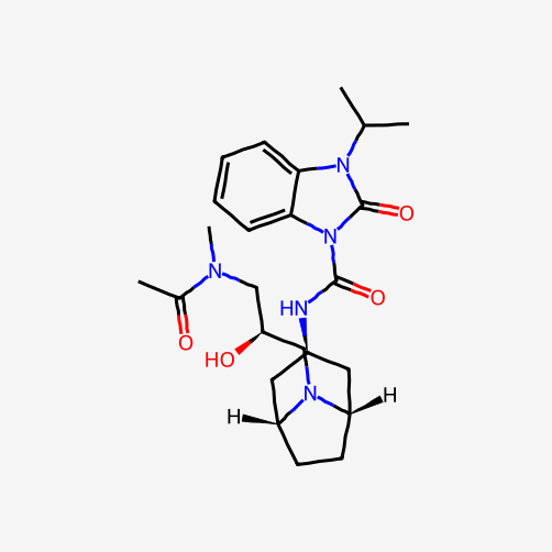 CC(=O)N(C)C[C@H](O)CN1[C@@H]2CC[C@H]1C[C@H](NC(=O)n1c(=O)n(C(C)C)c3ccccc31)C2